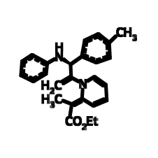 C=C([C@@H](Nc1ccccc1)c1ccc(C)cc1)N1C=CC=C/C1=C(/C)C(=O)OCC